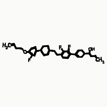 C=CCCOc1ccc(C2CCC(CCc3ccc(C4=CCC(C(O)CCC)CC4)c(F)c3F)CC2)cc1F